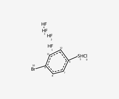 Cl.F.F.F.F.[S]c1ccc(Br)cc1